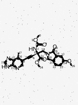 COC(=O)N[C@](C#Cc1cnc2[nH]cnc2c1C)(CN1Cc2ccc(OC)cc2C1=O)C(=O)OC